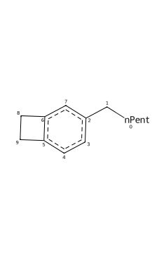 CCCCCCc1ccc2c(c1)CC2